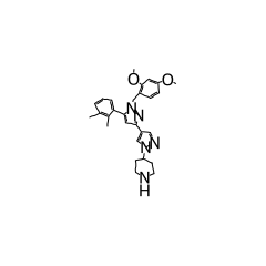 COc1ccc(Cn2nc(-c3cnn(C4CCNCC4)c3)cc2-c2cccc(C)c2C)c(OC)c1